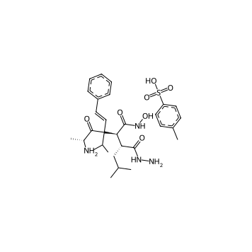 CC(C)C[C@@H](C(=O)NN)[C@H](C(=O)NO)C(/C=C/c1ccccc1)(C(=O)[C@@H](C)N)C(C)C.Cc1ccc(S(=O)(=O)O)cc1